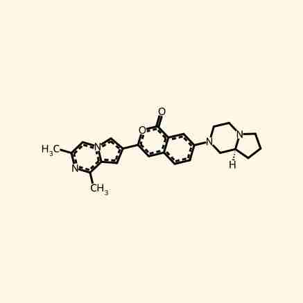 Cc1cn2cc(-c3cc4ccc(N5CCN6CCC[C@H]6C5)cc4c(=O)o3)cc2c(C)n1